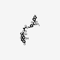 CC[C@@H]1C[C@H]2[C@@H]3CCC4=CC(=O)C=C[C@]4(C)[C@@]3(F)[C@@H](O)C[C@]2(C)[C@@]1(O)C(=O)COC(=O)C1CC1C(=O)OCCc1ccc(C(CN)C(=O)Nc2ccc3cnccc3c2)cc1